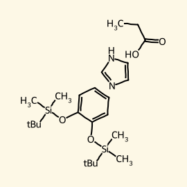 CC(C)(C)[Si](C)(C)Oc1ccccc1O[Si](C)(C)C(C)(C)C.CCC(=O)O.c1c[nH]cn1